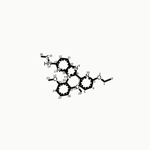 CCOc1cccc(-c2nc3ccc(NSC)nc3n2-c2c(OC)cccc2OC)n1